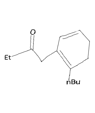 CCCCC1=C(CC(=O)CC)C=CCC1